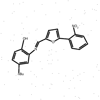 CCCCc1ccc(O)c(/N=C/c2ccc(-c3ccccc3[N+](=O)[O-])o2)c1